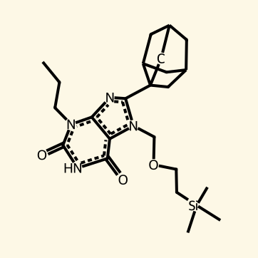 CCCn1c(=O)[nH]c(=O)c2c1nc(C13CC4CC(CC1C4)C3)n2COCC[Si](C)(C)C